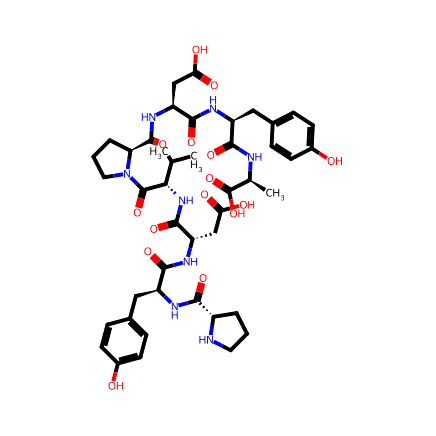 CC(C)[C@H](NC(=O)[C@H](CC(=O)O)NC(=O)[C@H](Cc1ccc(O)cc1)NC(=O)[C@@H]1CCCN1)C(=O)N1CCC[C@H]1C(=O)N[C@@H](CC(=O)O)C(=O)N[C@@H](Cc1ccc(O)cc1)C(=O)N[C@@H](C)C(=O)O